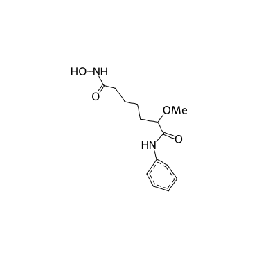 COC(CCCCC(=O)NO)C(=O)Nc1ccccc1